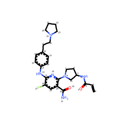 C=CC(=O)NC1CCN(c2nc(Nc3ccc(CCN4CCCC4)cc3)c(F)cc2C(N)=O)C1